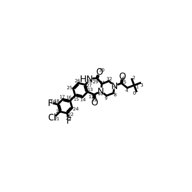 CC(C)(C)CC(=O)N1CCN2C(=O)c3cc(-c4cc(F)c(Cl)c(F)c4)ccc3NC(=O)C2C1